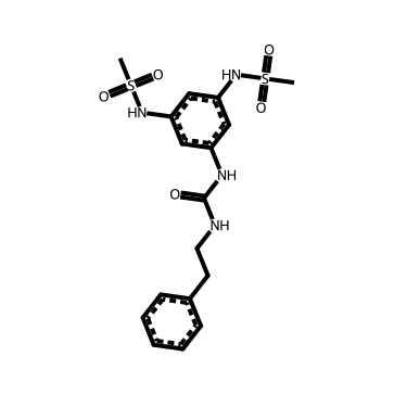 CS(=O)(=O)Nc1cc(NC(=O)NCCc2ccccc2)cc(NS(C)(=O)=O)c1